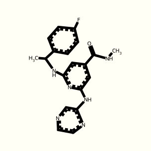 CNC(=O)c1cc(Nc2cnccn2)nc(NC(C)c2ccc(F)cc2)c1